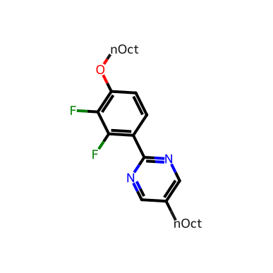 CCCCCCCCOc1ccc(-c2ncc(CCCCCCCC)cn2)c(F)c1F